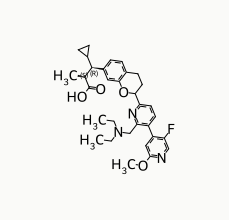 CCN(CC)Cc1nc(C2CCc3ccc([C@H](C4CC4)[C@H](C)C(=O)O)cc3O2)ccc1-c1cc(OC)ncc1F